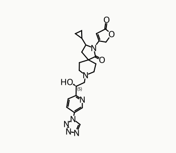 O=C1C=C(N2C(=O)C3(CCN(C[C@H](O)c4ccc(-n5cnnn5)cn4)CC3)CC2C2CC2)CO1